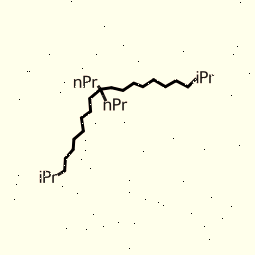 CCCC(CCC)(CCCCCCCCC(C)C)CCCCCCCCC(C)C